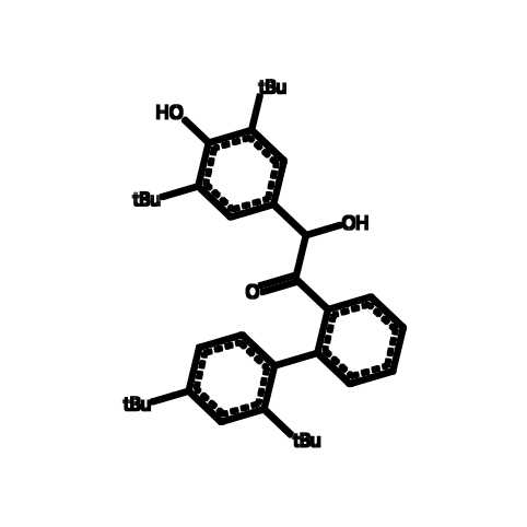 CC(C)(C)c1ccc(-c2ccccc2C(=O)C(O)c2cc(C(C)(C)C)c(O)c(C(C)(C)C)c2)c(C(C)(C)C)c1